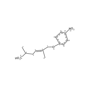 C/C(=C\CC(C)C(=O)O)COc1ccc([N+](=O)[O-])cc1